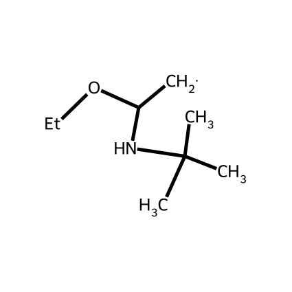 [CH2]C(NC(C)(C)C)OCC